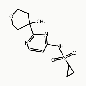 CC1(c2nccc(NS(=O)(=O)C3CC3)n2)CCOCC1